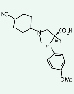 COc1ccc([C@@H]2CN(C3CCC(C#N)CC3)C[C@@]2(F)C(=O)O)cc1